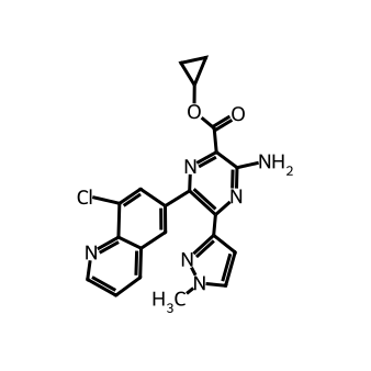 Cn1ccc(-c2nc(N)c(C(=O)OC3CC3)nc2-c2cc(Cl)c3ncccc3c2)n1